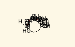 C=CCOC(=O)N[C@@H]1[C@H](O)[C@H](O[C@H]2/C=C/C=C/C=C/C=C/C=C/C=C/C=C/[C@H](C)[C@@H](O)[C@@H](C)[C@H](C)OC(=O)C[C@H]3C[C@@H](CC[C@@H](O)[C@H]4C[C@@H](C[C@]5(OC)C[C@H](O)[C@@H](C(=O)OCC=C)[C@H](C2)O5)OC(P)O4)OC(P)O3)O[C@H](C)[C@H]1O